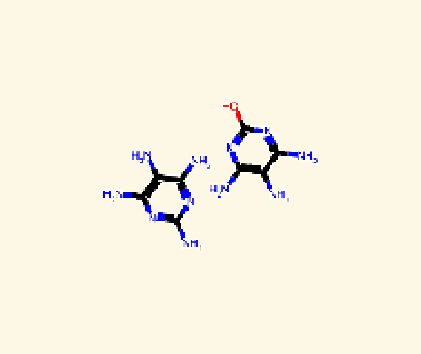 Nc1nc(N)c(N)c(N)n1.Nc1nc(O)nc(N)c1N